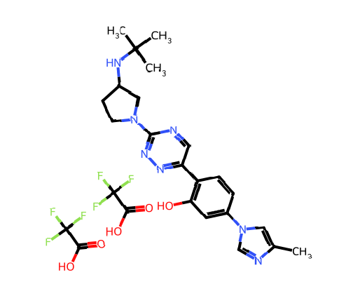 Cc1cn(-c2ccc(-c3cnc(N4CCC(NC(C)(C)C)C4)nn3)c(O)c2)cn1.O=C(O)C(F)(F)F.O=C(O)C(F)(F)F